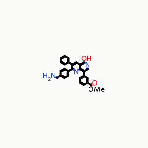 COC(=O)c1cccc(-c2cnc(O)c3cc(-c4ccccc4)c(-c4ccc(CN)cc4)nc23)c1